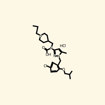 CCCN1CCC(CN(C(=O)O)c2cc(C)n(Cc3cc(Cl)ccc3OCC(C)C)n2)CC1.Cl